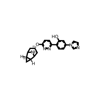 Oc1cc(-n2ccnc2)ccc1-c1ccc(O[C@H]2CC3NC(C2)[C@@H]2C[C@H]32)nn1